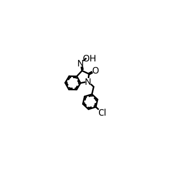 O=C1/C(=N\O)c2ccccc2N1Cc1cccc(Cl)c1